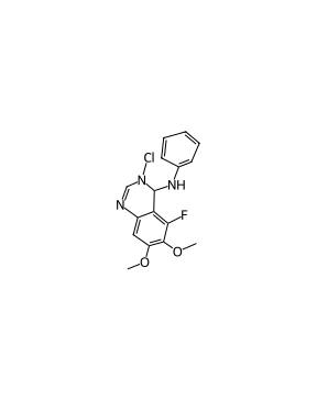 COc1cc2c(c(F)c1OC)C(Nc1ccccc1)N(Cl)C=N2